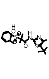 Cc1nc(NC(=O)C(C)(C)S(=O)(=O)C2(O)C=CC=CC2C)sc1C(C)(C)C